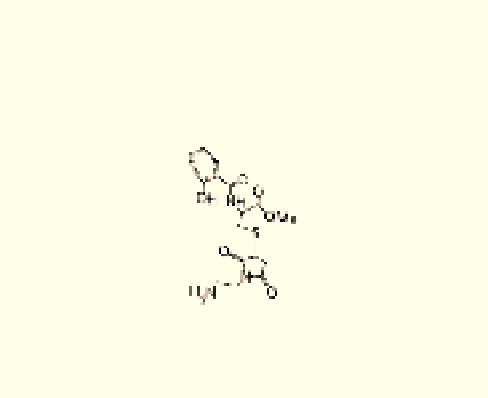 COC(=O)C(CSC1CC(=O)N(CCN)C1=O)NC(=O)c1ccccc1O